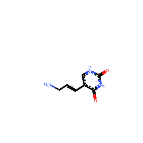 NC/C=C/c1c[nH]c(=O)[nH]c1=O